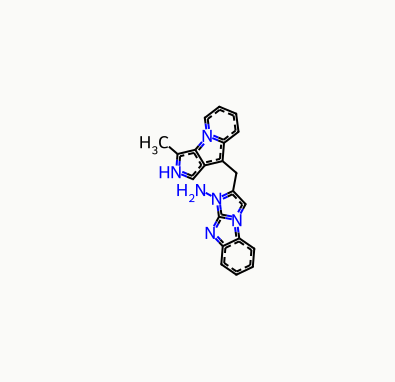 Cc1[nH]cc2c(Cc3cn4c5ccccc5nc4n3N)c3ccccn3c12